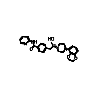 C[C@H](Cc1ccc(C(=O)Nc2ccccn2)cc1)N1CCN(c2cccc3c2OCCO3)CC1.Cl